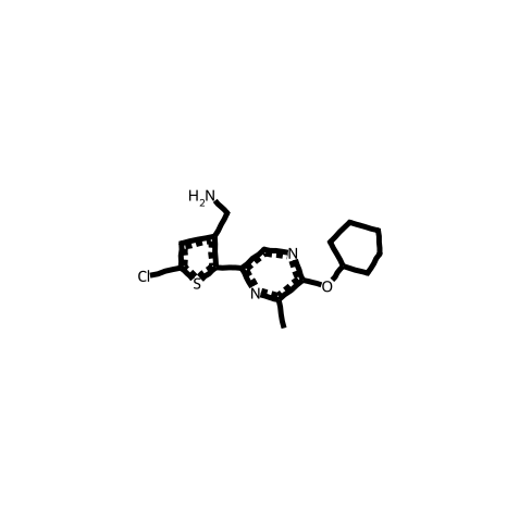 Cc1nc(-c2sc(Cl)cc2CN)cnc1OC1CCCCC1